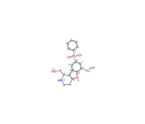 Cl.O=S(=O)(c1ccccc1)c1cc(Cl)c2oc3c(c2c1)C(CO)NCC3